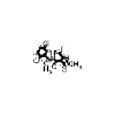 CC(NC(=O)c1c(C(F)F)nn(C)c1Cl)c1cc(Cl)ccc1Cl